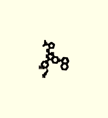 CN(C)[C@H]1CCC[C@@H]1Oc1nc2c(c(N3CCN[C@@H](CC#N)C3)n1)CCN(c1cccc3c1CCCC3)C2